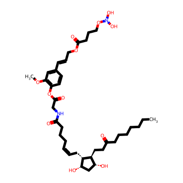 CCCCCCCC(=O)CC[C@@H]1[C@@H](C/C=C\CCCC(=O)NCC(=O)Oc2ccc(/C=C/COC(=O)CCCON(O)O)cc2OC)[C@@H](O)C[C@H]1O